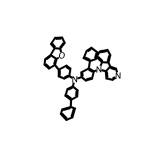 c1ccc(-c2ccc(N(c3ccc(-c4cccc5c4oc4ccccc45)cc3)c3ccc(-n4c5ccccc5c5cnccc54)c(-c4ccccc4)c3)cc2)cc1